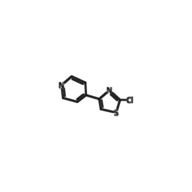 Clc1nc(-c2ccncc2)cs1